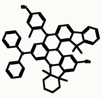 Cc1cc(C(C)(C)C)ccc1N1c2cc(N(c3ccccc3)c3ccccc3)cc3c2B(c2cc(C(C)(C)C)cc4c2N3C2(C)CCCCC42C)c2c1ccc1c2C(C)(C)c2ccccc2-1